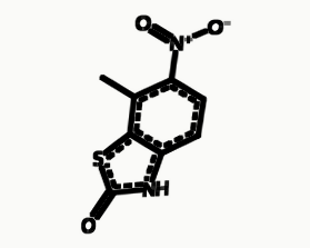 Cc1c([N+](=O)[O-])ccc2[nH]c(=O)sc12